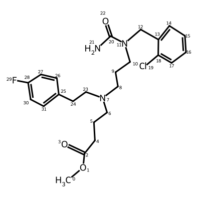 COC(=O)CCCN(CCCN(Cc1ccccc1Cl)C(N)=O)CCc1ccc(F)cc1